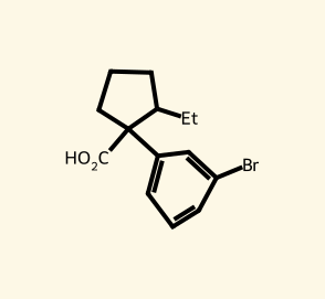 CCC1CCCC1(C(=O)O)c1cccc(Br)c1